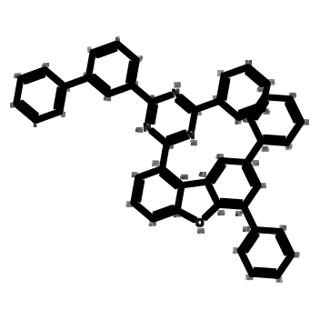 c1ccc(-c2cccc(-c3nc(-c4ccccc4)nc(-c4cccc5oc6c(-c7ccccc7)cc(-c7ccccc7)cc6c45)n3)c2)cc1